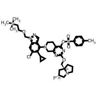 Cc1ccc(S(=O)(=O)Oc2nc(OC[C@@]34CCCN3C[C@H](F)C4)nc3c2CCN(c2c(C4CC4)c(Cl)cc4c2cnn4COCC[Si](C)(C)C)C3)cc1